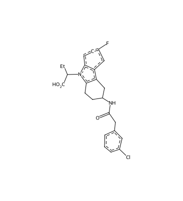 CCC(C(=O)O)n1c2c(c3cc(F)ccc31)CC(NC(=O)Cc1cccc(Cl)c1)CC2